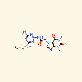 Cn1c(=O)c2c(ncn2CC(=O)Nc2nc(N)nc(NC=O)n2)n(C)c1=O